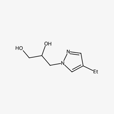 CCc1cnn(CC(O)CO)c1